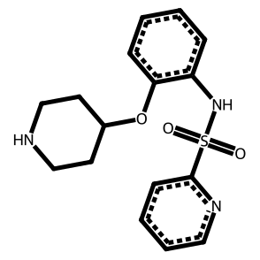 O=S(=O)(Nc1ccccc1OC1CCNCC1)c1ccccn1